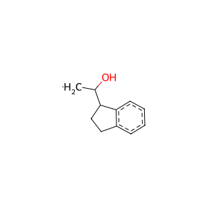 [CH2]C(O)C1CCc2ccccc21